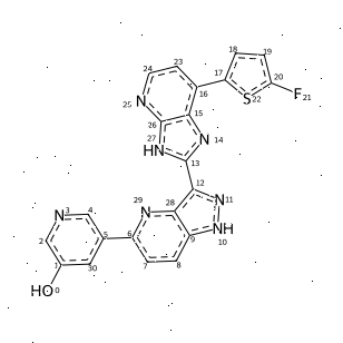 Oc1cncc(-c2ccc3[nH]nc(-c4nc5c(-c6ccc(F)s6)ccnc5[nH]4)c3n2)c1